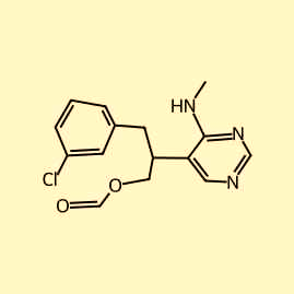 CNc1ncncc1C(COC=O)Cc1cccc(Cl)c1